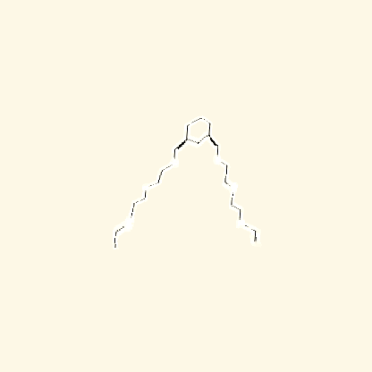 CCOCCOCCO/C=C1/CCC/C(=C/OCCOCCOCC)C1